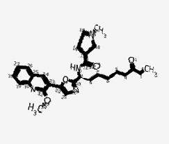 CCC(=O)CCCCC[C@H](NC(=O)C1CCN(C)C1)c1ncc(-c2cc3ccccc3nc2OC)o1